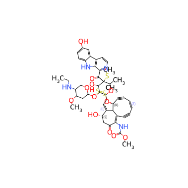 CCNC1COC(OC2C(O[C@H]3C#C/C=C\C#CC4=C(NC(=O)OC)C(=O)C[C@H](O)/C(=C/CS(C)=S)C43)OC(C)C(SC)(C(=O)c3nccc4c3[nH]c3ccc(O)cc34)C2O)CC1OC